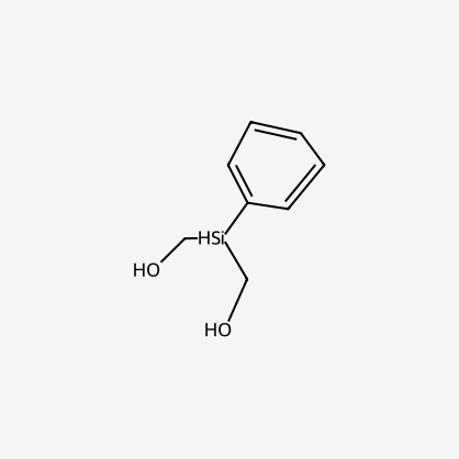 OC[SiH](CO)c1ccccc1